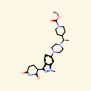 C[C@H](C1CCN(C(=O)OC(C)(C)C)CC1)N1CCN(c2ccc3c(C4CCC(=O)NC4=O)nn(C)c3c2)CC1